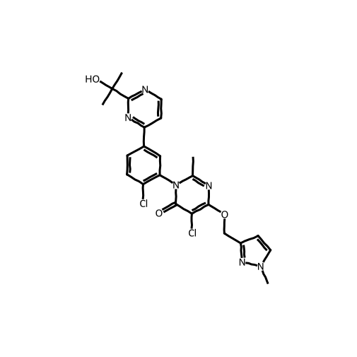 Cc1nc(OCc2ccn(C)n2)c(Cl)c(=O)n1-c1cc(-c2ccnc(C(C)(C)O)n2)ccc1Cl